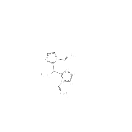 C=Cn1ccnc1C(C)c1nccn1C=C